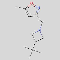 Cc1cc(CN2CC(C(C)(C)C)C2)no1